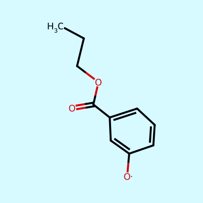 CCCOC(=O)c1cccc([O])c1